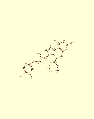 Fc1cc(Cl)c(-c2nc3cnc(NCc4ccc(F)c(F)c4)nc3n2C[C@@H]2CCCNC2)c(Cl)c1